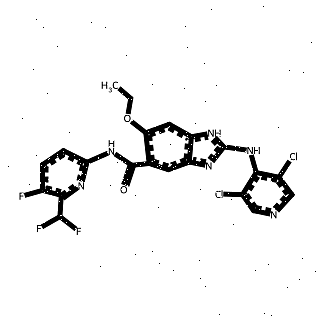 CCOc1cc2[nH]c(Nc3c(Cl)cncc3Cl)nc2cc1C(=O)Nc1ccc(F)c(C(F)F)n1